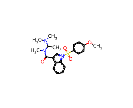 COc1ccc(S(=O)(=O)n2cc(C(=O)N(C)C(C)N(C)C)c3ccccc32)cc1